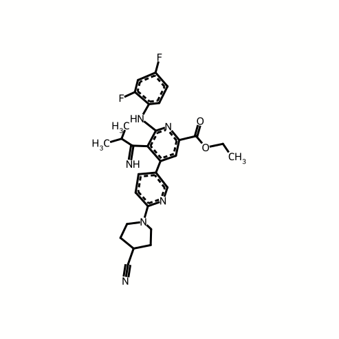 CCOC(=O)c1cc(-c2ccc(N3CCC(C#N)CC3)nc2)c(C(=N)C(C)C)c(Nc2ccc(F)cc2F)n1